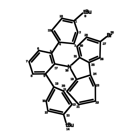 CC(C)(C)c1ccc(-c2cccc(-c3ccc(C(C)(C)C)cc3)c2-n2c3ccccc3c3cc(Br)ccc32)cc1